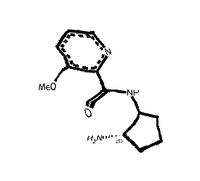 COc1cccnc1C(=O)NC1CCC[C@@H]1N